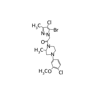 COc1cc(N2CCN(C(=O)Cn3nc(C)c(Cl)c3Br)C(C)C2)ccc1Cl